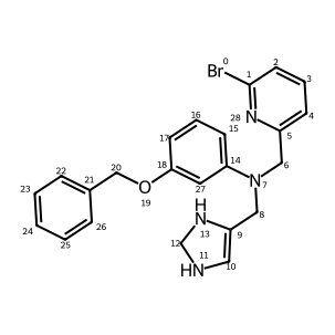 Brc1cccc(CN(CC2=CNCN2)c2cccc(OCc3ccccc3)c2)n1